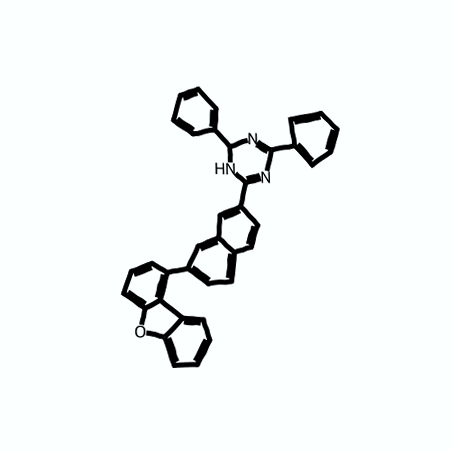 c1ccc(C2=NC(c3ccccc3)NC(c3ccc4ccc(-c5cccc6oc7ccccc7c56)cc4c3)=N2)cc1